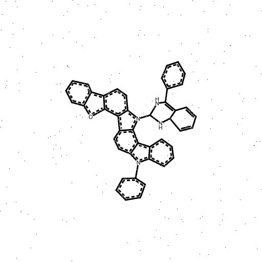 C1=CC2=C(c3ccccc3)NC(n3c4ccc5c6ccccc6oc5c4c4ccc5c(c6ccccc6n5-c5ccccc5)c43)NC2C=C1